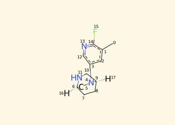 Cc1cc(N2C[C@H]3CC[C@@H]2CN3)cnc1F